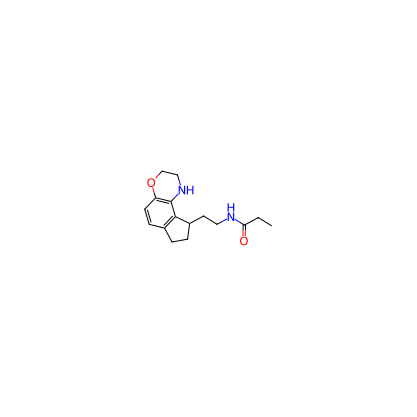 CCC(=O)NCCC1CCc2ccc3c(c21)NCCO3